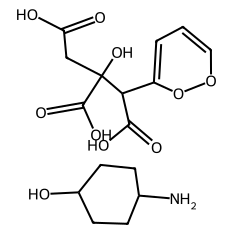 NC1CCC(O)CC1.O=C(O)CC(O)(C(=O)O)C(C(=O)O)C1=CC=COO1